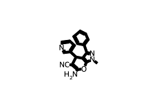 Cn1nc(-c2ccccc2)c2c1OC(N)=C(C#N)C2c1cccnc1